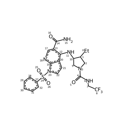 CCC1CN(C(=O)NCC(F)(F)F)CC1Nc1c(C(N)=O)cnc2c1ccn2S(=O)(=O)c1ccccc1